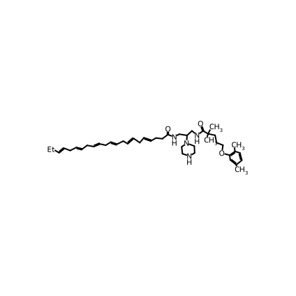 CCC=CCC=CCC=CCC=CCC=CCC=CCCC(=O)NCC(CNC(=O)C(C)(C)CCCOc1cc(C)ccc1C)N1CCNCC1